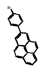 Brc1ccc(-c2cc3ccc4cccc5ccc(c2)c3c45)cc1